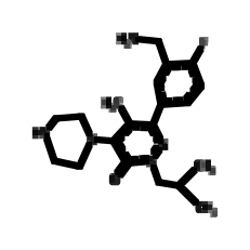 Cc1c(-c2ccc(F)c(CN)c2)nn(CC(C)C)c(=O)c1N1CCNCC1